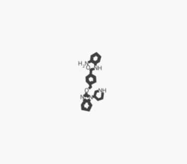 Nc1ccccc1NC(=O)c1ccc(COc2nc3ccccc3n2C2CCCNC2)cc1